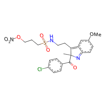 COc1ccc2c(c1)=C(CCNS(=O)(=O)CCCO[N+](=O)[O-])C(C)(C(=O)c1ccc(Cl)cc1)N=2